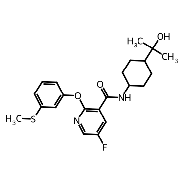 CSc1cccc(Oc2ncc(F)cc2C(=O)NC2CCC(C(C)(C)O)CC2)c1